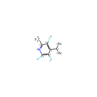 CC(=O)C(C(C)=O)c1c(F)c(F)nc(C(F)(F)F)c1F